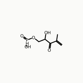 C=C(C)C(=O)C(O)CO[PH](=O)O